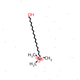 CCO[Si](CCCCCCCCCCCCCCCCCCCCO)(OCC)OCC